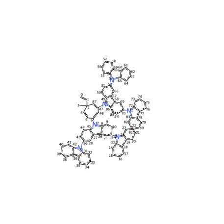 C=CC1(C)C=CC(n2c3ccc(-n4c5ccccc5c5ccccc54)cc3c3cc(-n4c5ccccc5c5ccccc54)ccc32)=CC(n2c3ccc(-n4c5ccccc5c5ccccc54)cc3c3cc(-n4c5ccccc5c5ccccc54)ccc32)=C1